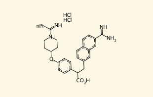 CCCC(=N)N1CCC(Oc2ccc(C(Cc3ccc4ccc(C(=N)N)cc4c3)C(=O)O)cc2)CC1.Cl.Cl